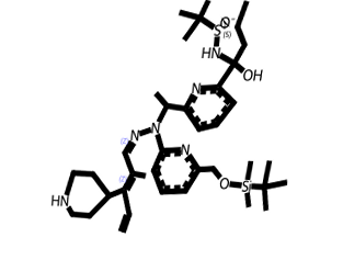 C=C/C(=C(C)/C=N\N(c1cccc(CO[Si](C)(C)C(C)(C)C)n1)C(C)c1cccc(C(O)(CCC)N[S@+]([O-])C(C)(C)C)n1)C1CCNCC1